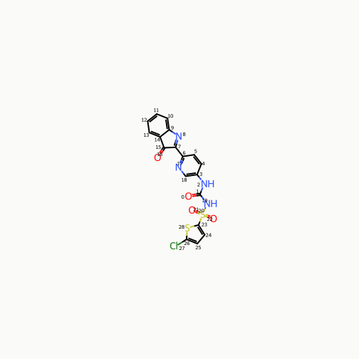 O=C(Nc1ccc(C2=Nc3ccccc3C2=O)nc1)NS(=O)(=O)c1ccc(Cl)s1